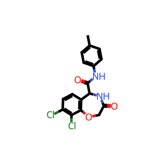 Cc1ccc(NC(=O)C2NC(=O)COc3c2ccc(Cl)c3Cl)cc1